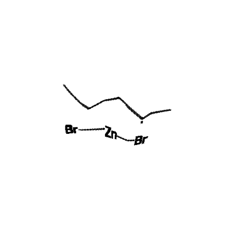 C[CH]CCC.[Br][Zn][Br]